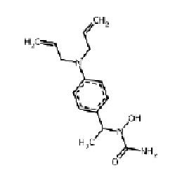 C=CCN(CC=C)c1ccc(C(C)N(O)C(N)=O)cc1